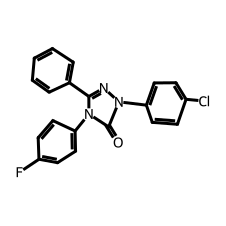 O=c1n(-c2ccc(Cl)cc2)nc(-c2ccccc2)n1-c1ccc(F)cc1